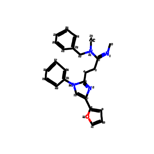 C/N=C(/CCc1nc(-c2ccco2)cn1-c1ccccc1)N(Cc1ccccc1)C(C)=O